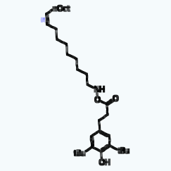 CCCCCCCC/C=C\CCCCCCCCNOC(=O)CCc1cc(C(C)(C)C)c(O)c(C(C)(C)C)c1